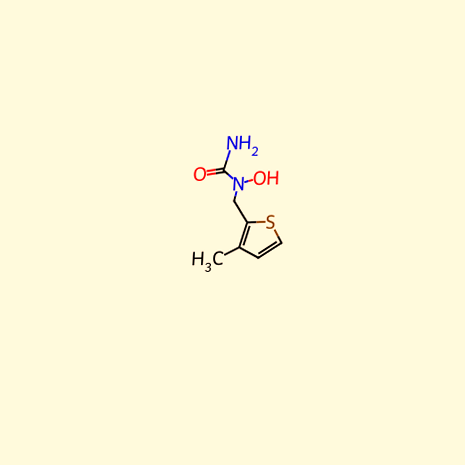 Cc1ccsc1CN(O)C(N)=O